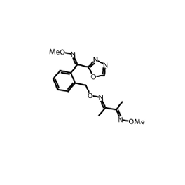 CO/N=C(C)/C(C)=N/OCc1ccccc1/C(=N\OC)c1nnco1